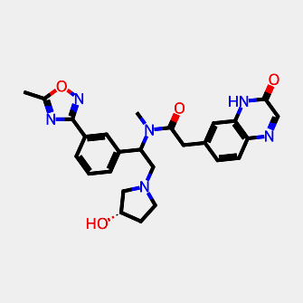 Cc1nc(-c2cccc(C(CN3CC[C@H](O)C3)N(C)C(=O)Cc3ccc4ncc(=O)[nH]c4c3)c2)no1